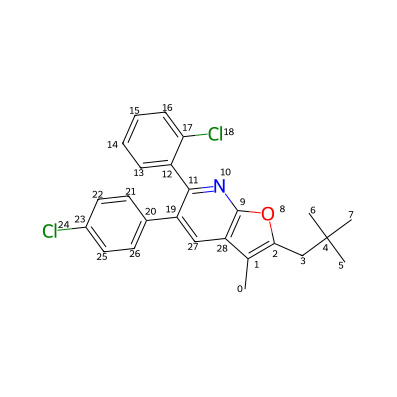 Cc1c(CC(C)(C)C)oc2nc(-c3ccccc3Cl)c(-c3ccc(Cl)cc3)cc12